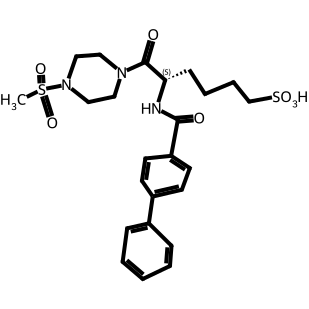 CS(=O)(=O)N1CCN(C(=O)[C@H](CCCCS(=O)(=O)O)NC(=O)c2ccc(-c3ccccc3)cc2)CC1